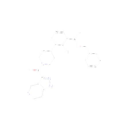 O=C(OCc1ccccc1)c1cccc(C2CCN(C(=O)c3n[nH]c4c3CNCC4)CC2)c1Cl